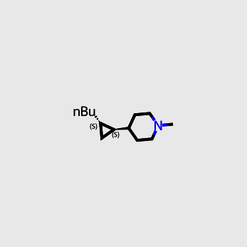 CCCC[C@H]1C[C@@H]1C1CCN(C)CC1